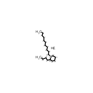 CCCCCCCCCCCN1CCCCC1CCCC.F